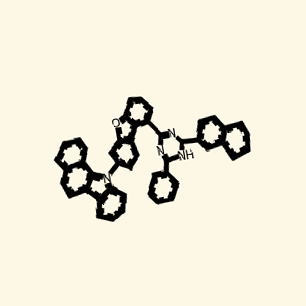 c1ccc(C2=NC(c3cccc4oc5cc(-n6c7ccccc7c7ccc8ccccc8c76)ccc5c34)=NC(c3ccc4ccccc4c3)N2)cc1